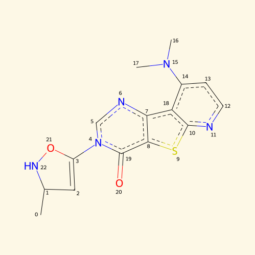 CC1C=C(n2cnc3c(sc4nccc(N(C)C)c43)c2=O)ON1